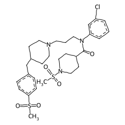 CS(=O)(=O)c1ccc(CC2CCN(CCCN(C(=O)C3CCN(S(C)(=O)=O)CC3)c3cccc(Cl)c3)CC2)cc1